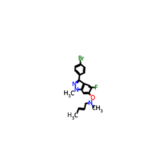 CC=CCN(C)Oc1cc2c(cc1F)c(-c1ccc(Br)cc1)nn2C